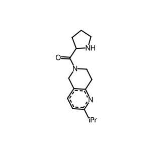 CC(C)c1ccc2c(n1)CCN(C(=O)C1CCCN1)C2